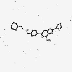 Nc1nc(-c2ccc(CNCCc3ccccn3)cc2)cc2nc(-c3ccco3)nn12